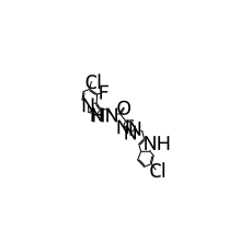 O=C(NCc1ncn2ccc(Cl)c(F)c12)c1cn(CC2=CC3C=CC(Cl)=CC3N2)nn1